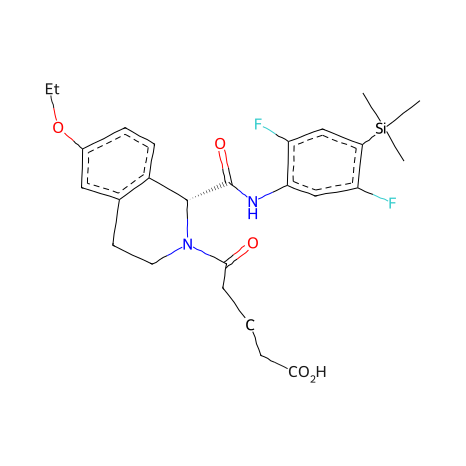 CCOc1ccc2c(c1)CCN(C(=O)CCCC(=O)O)[C@H]2C(=O)Nc1cc(F)c([Si](C)(C)C)cc1F